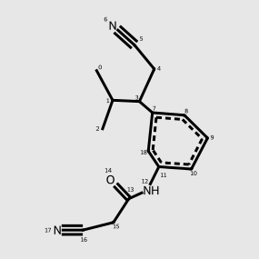 CC(C)C(CC#N)c1cccc(NC(=O)CC#N)c1